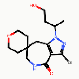 CCc1nn(C(C)CCO)c2c1C(=O)NCC1(CCOCC1)C2